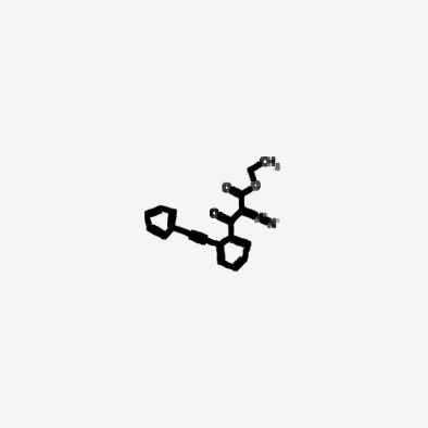 CCOC(=O)C(=[N+]=[N-])C(=O)c1ccccc1C#Cc1ccccc1